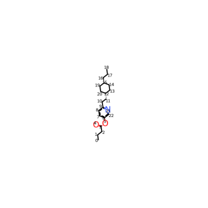 CCCC(=O)Oc1ccc(CC[C@H]2CC[C@H](CCC)CC2)nc1